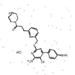 CC(=O)Nc1ccc(-c2nc(SCc3cccc(CCC(=O)N4CCNCC4)n3)nc(N)c2C#N)cc1.Cl